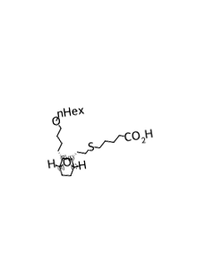 CCCCCCOCCCC[C@@H]1[C@H](CCSCCCCC(=O)O)[C@@H]2CC[C@H]1O2